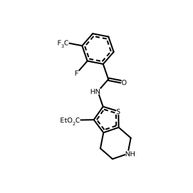 CCOC(=O)c1c(NC(=O)c2cccc(C(F)(F)F)c2F)sc2c1CCNC2